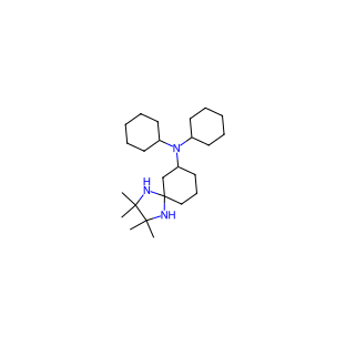 CC1(C)NC2(CCCC(N(C3CCCCC3)C3CCCCC3)C2)NC1(C)C